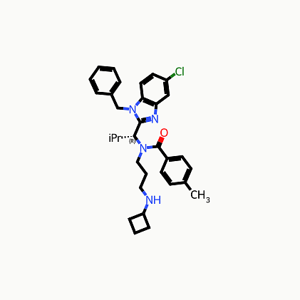 Cc1ccc(C(=O)N(CCCNC2CCC2)[C@@H](c2nc3cc(Cl)ccc3n2Cc2ccccc2)C(C)C)cc1